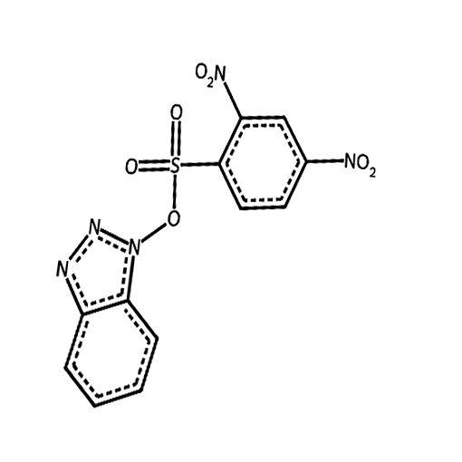 O=[N+]([O-])c1ccc(S(=O)(=O)On2nnc3ccccc32)c([N+](=O)[O-])c1